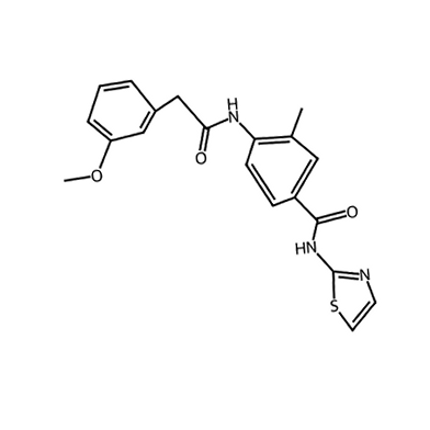 COc1cccc(CC(=O)Nc2ccc(C(=O)Nc3nccs3)cc2C)c1